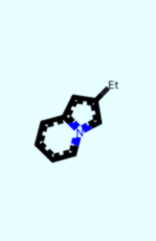 CCc1cc2ccccn2c1